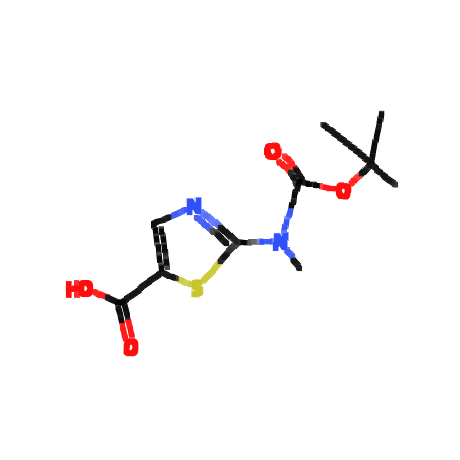 CN(C(=O)OC(C)(C)C)c1ncc(C(=O)O)s1